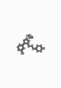 Cl.Cl.Clc1cccc(C2CCCC2CCCN2CCNCC2)c1